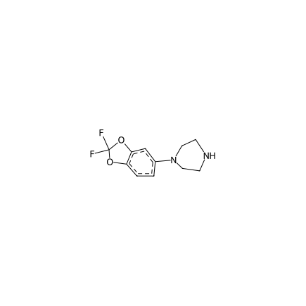 FC1(F)Oc2ccc(N3CCNCC3)cc2O1